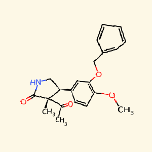 COc1ccc([C@@H]2CNC(=O)[C@@]2(C)C(C)=O)cc1OCc1ccccc1